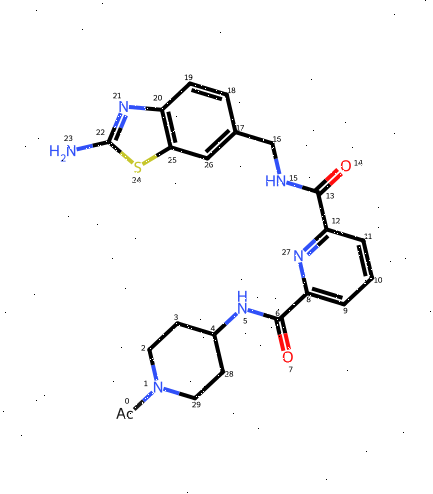 CC(=O)N1CCC(NC(=O)c2cccc(C(=O)NCc3ccc4nc(N)sc4c3)n2)CC1